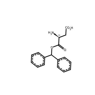 N[C@@H](CC(=O)O)C(=O)OC(c1ccccc1)c1ccccc1